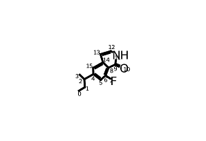 CCC(C)c1cc(F)c2c(=O)[nH]ccc2c1